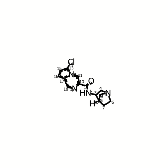 O=C(NC1CN2CC[C@H]1C2)c1cn2c(Cl)ccc2cn1